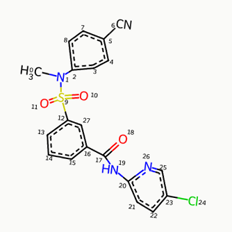 CN(c1ccc(C#N)cc1)S(=O)(=O)c1cccc(C(=O)Nc2ccc(Cl)cn2)c1